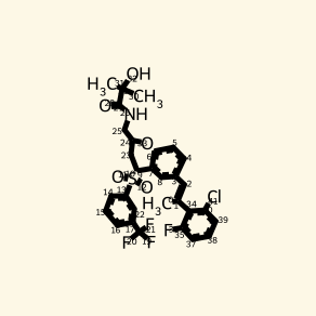 CC(=Cc1ccc2c(c1)C(S(=O)(=O)c1cccc(C(F)(F)F)c1)CC(CNC(=O)C(C)(C)O)O2)c1c(F)cccc1Cl